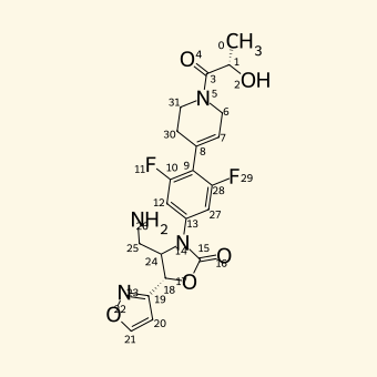 C[C@H](O)C(=O)N1CC=C(c2c(F)cc(N3C(=O)O[C@H](c4ccon4)C3CN)cc2F)CC1